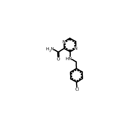 NC(=O)c1nccnc1NCc1ccc(Cl)cc1